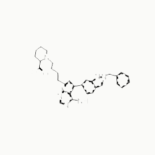 Nc1ncnn2c(CCCCN3CCCCC3C(=O)O)cc(-c3ccc4cn(Cc5ccccc5)nc4c3)c12